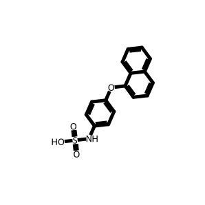 O=S(=O)(O)Nc1ccc(Oc2cccc3ccccc23)cc1